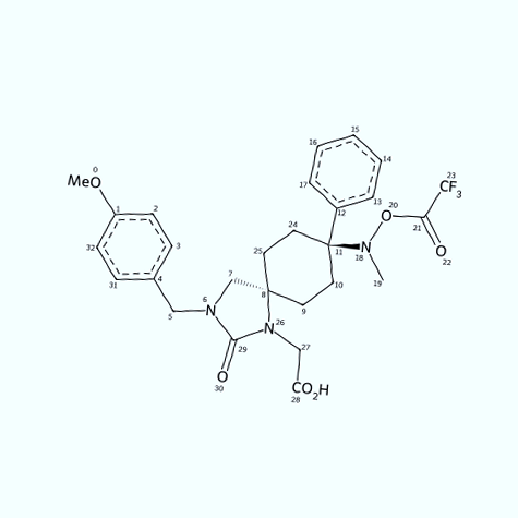 COc1ccc(CN2C[C@]3(CC[C@](c4ccccc4)(N(C)OC(=O)C(F)(F)F)CC3)N(CC(=O)O)C2=O)cc1